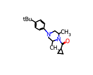 CC1CN(c2ccc(C(C)(C)C)cc2)CC(C)N1C(=O)C1CC1